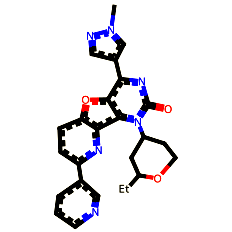 CCC1CC(n2c(=O)nc(-c3cnn(C)c3)c3oc4ccc(-c5cccnc5)nc4c32)CCO1